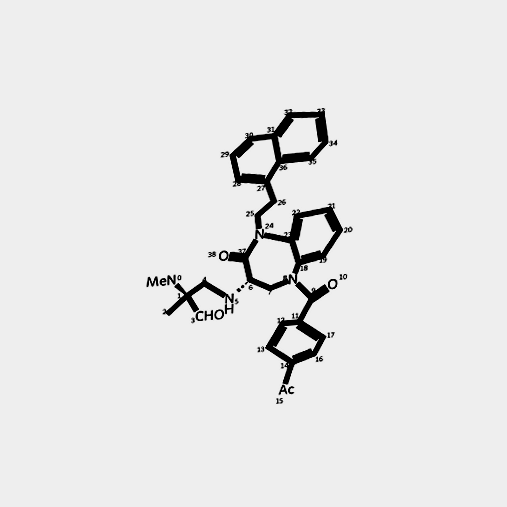 CN[C@](C)(C=O)CN[C@H]1CN(C(=O)c2ccc(C(C)=O)cc2)c2ccccc2N(CCc2cccc3ccccc23)C1=O